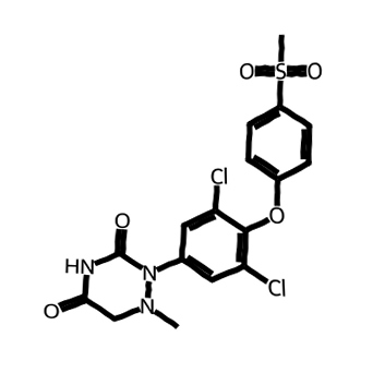 CN1CC(=O)NC(=O)N1c1cc(Cl)c(Oc2ccc(S(C)(=O)=O)cc2)c(Cl)c1